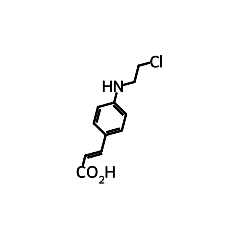 O=C(O)C=Cc1ccc(NCCCl)cc1